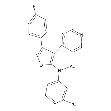 CC(=O)N(c1cccc(Cl)c1)c1onc(-c2ccc(F)cc2)c1-c1ccncn1